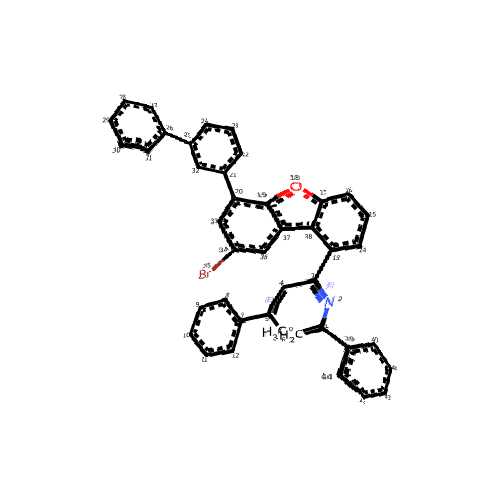 C=C(/N=C(\C=C(/C)c1ccccc1)c1cccc2oc3c(-c4cccc(-c5ccccc5)c4)cc(Br)cc3c12)c1ccccc1